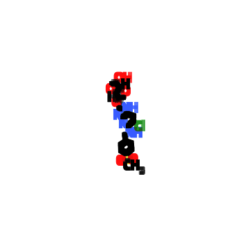 CS(=O)(=O)c1ccc(CNc2nc3nc(O[C@@H]4CO[C@H]5[C@@H]4OC[C@H]5O)[nH]c3cc2Cl)cc1